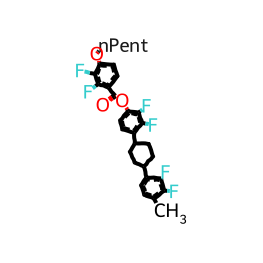 CCCCCOc1ccc(C(=O)Oc2ccc(C3CCC(c4ccc(C)c(F)c4F)CC3)c(F)c2F)c(F)c1F